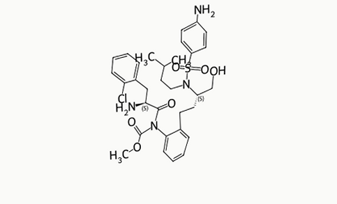 COC(=O)N(C(=O)[C@@H](N)Cc1ccccc1Cl)c1ccccc1CC[C@@H](CO)N(CCC(C)C)S(=O)(=O)c1ccc(N)cc1